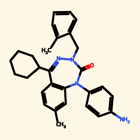 Cc1ccc2c(c1)N(c1ccc(N)cc1)C(=O)N(Cc1ccccc1C)N=C2C1CCCCC1